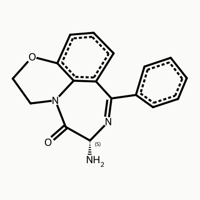 N[C@H]1N=C(c2ccccc2)c2cccc3c2N(CCO3)C1=O